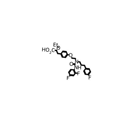 CCOC(Cc1ccc(OCCN(CCCc2ccc(F)cc2)C(=O)Nc2ccc(F)cc2F)cc1)C(=O)O